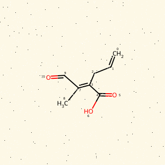 C=CCC(C(=O)O)=C(C)C=O